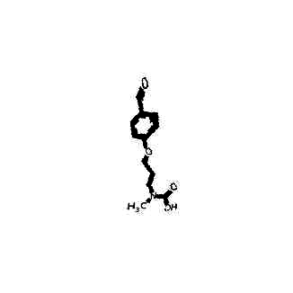 CN(CCCOc1ccc(C=O)cc1)C(=O)O